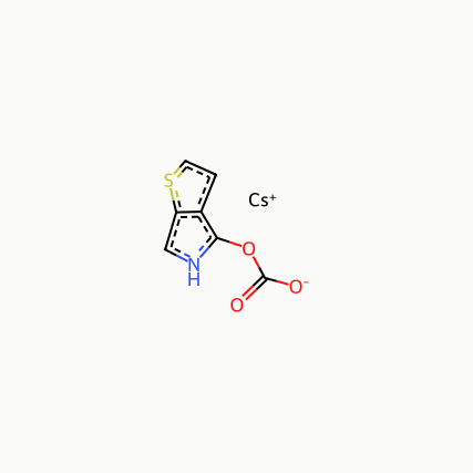 O=C([O-])Oc1[nH]cc2sccc12.[Cs+]